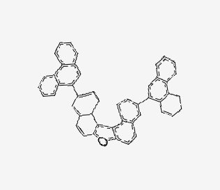 C1=Cc2c(-c3ccc4c(ccc5oc6c(c54)C4CC=C(c5cc7ccccc7c7ccccc57)C=C4C=C6)c3)cc3ccccc3c2CC1